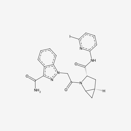 NC(=O)c1nn(CC(=O)N2C3C[C@@H]3C[C@H]2C(=O)Nc2cccc(I)n2)c2ccccc12